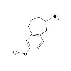 COc1ccc2c(c1)CCCC(N)C2